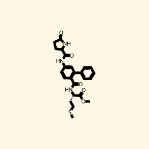 COC(=O)[C@H](CCSC)NC(=O)c1ccc(NC(=O)C2CCC(=O)N2)cc1-c1ccccc1